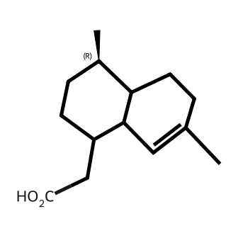 CC1=CC2C(CC(=O)O)CC[C@@H](C)C2CC1